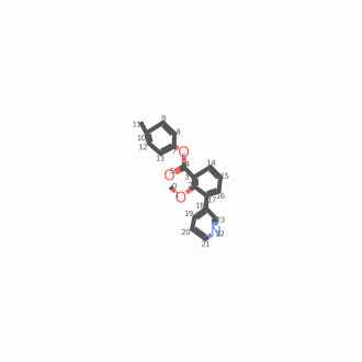 COc1c(C(=O)Oc2ccc(C)cc2)cccc1-c1cccnc1